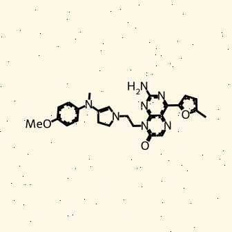 COc1ccc(N(C)C2=CN(CCn3c(=O)cnc4c(-c5ccc(C)o5)nc(N)nc43)CC2)cc1